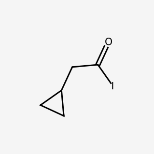 O=C(I)CC1CC1